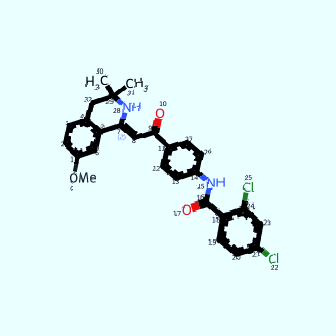 COc1ccc2c(c1)/C(=C/C(=O)c1ccc(NC(=O)c3ccc(Cl)cc3Cl)cc1)NC(C)(C)C2